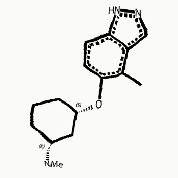 CN[C@@H]1CCC[C@H](Oc2ccc3[nH]ncc3c2C)C1